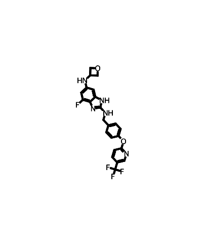 Fc1cc(NC2COC2)cc2[nH]c(NCc3ccc(Oc4ccc(C(F)(F)F)cn4)cc3)nc12